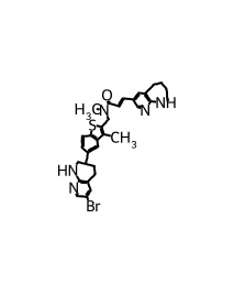 Cc1c(CN(C)C(=O)/C=C/c2cnc3c(c2)CCCCN3)sc2ccc(C3CCc4cc(Br)cnc4NC3)cc12